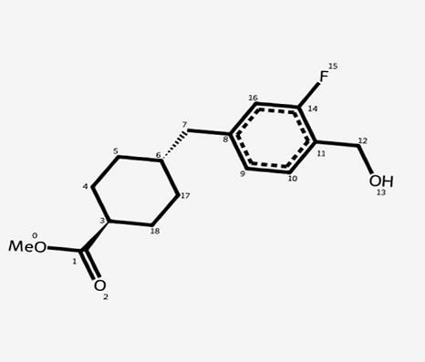 COC(=O)[C@H]1CC[C@H](Cc2ccc(CO)c(F)c2)CC1